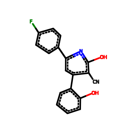 N#Cc1c(-c2ccccc2O)cc(-c2ccc(F)cc2)nc1O